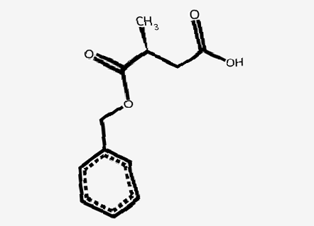 C[C@@H](CC(=O)O)C(=O)OCc1ccccc1